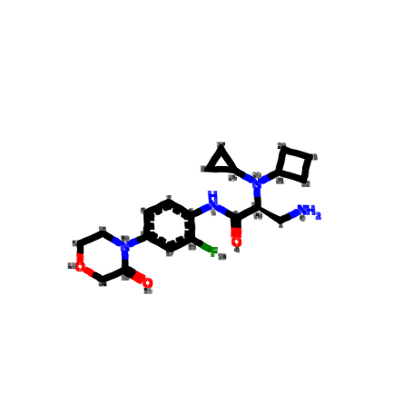 NC[C@@H](C(=O)Nc1ccc(N2CCOCC2=O)cc1F)N(C1CCC1)C1CC1